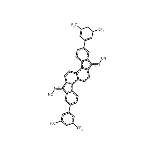 N#C/N=c1\c2cc(C3=CC(C(F)(F)F)CC(C(F)(F)F)=C3)ccc2c2c1ccc1c2ccc2/c(=N/C#N)c3cc(-c4cc(C(F)(F)F)cc(C(F)(F)F)c4)ccc3c21